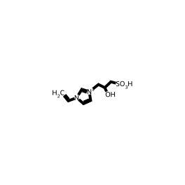 C=Cn1cc[n+](CC(O)CS(=O)(=O)O)c1